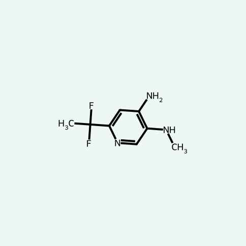 CNc1cnc(C(C)(F)F)cc1N